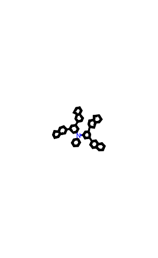 c1ccc(N(c2cc(-c3ccc4ccccc4c3)cc(-c3ccc4ccccc4c3)c2)c2cc(-c3ccc4ccccc4c3)cc(-c3ccc4ccccc4c3)c2)cc1